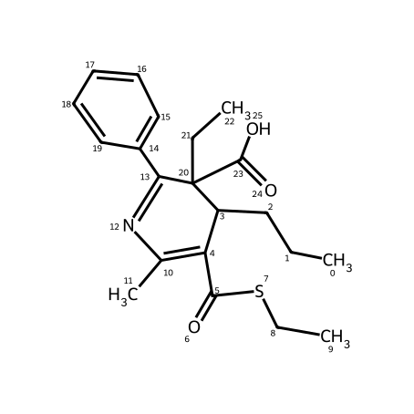 CCCC1C(C(=O)SCC)=C(C)N=C(c2ccccc2)C1(CC)C(=O)O